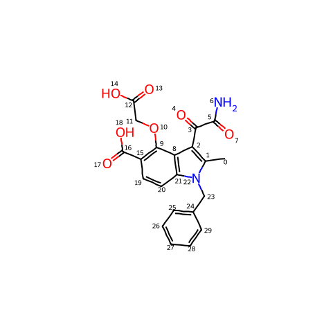 Cc1c(C(=O)C(N)=O)c2c(OCC(=O)O)c(C(=O)O)ccc2n1Cc1ccccc1